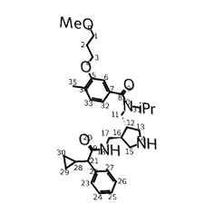 COCCCOc1cc(C(=O)N(C[C@@H]2CNC[C@H]2CNC(=O)C(c2ccccc2)C2CC2)C(C)C)ccc1C